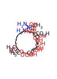 C[C@@H]1OC(=O)CC(O)CC(O)CCC(O)C(O)CC(O)CC2(O)C[C@H](O)C(C(=O)O)C(CC(O[C@@H]3O[C@H](C)C(O)[C@H](N(CCN)CCN)[C@@H]3O)/C=C/C=C/C=C/C=C/C=C/C=C/C=C/[C@H](C)C(O)[C@H]1C)O2